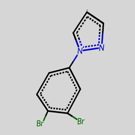 Brc1ccc(-n2c[c]cn2)cc1Br